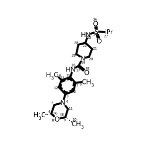 Cc1cc(N2C[C@@H](C)O[C@@H](C)C2)cc(C)c1NC(=O)N1CCC(NS(=O)(=O)C(C)C)CC1